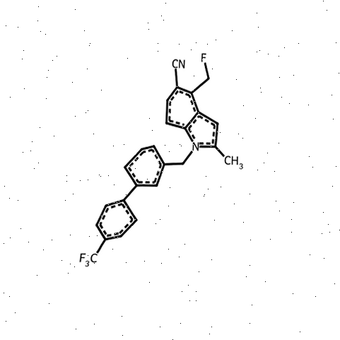 Cc1cc2c(CF)c(C#N)ccc2n1Cc1cccc(-c2ccc(C(F)(F)F)cc2)c1